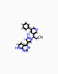 N#CCC(c1cncc(-c2ccccc2)c1)N1C=C(c2ncnc3[nH]ccc23)CN1